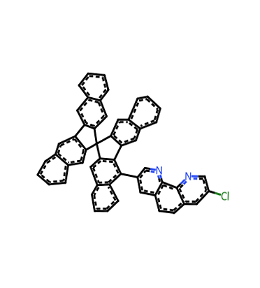 Clc1cnc2c(ccc3cc(-c4c5c(cc6ccccc46)C4(c6cc7ccccc7cc6-c6cc7ccccc7cc64)c4cc6ccccc6cc4-5)cnc32)c1